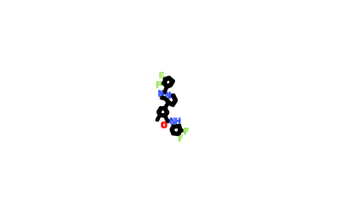 Cc1ccc(-c2cccn3c(-c4cccc(F)c4F)ncc23)cc1C(=O)Nc1ccc(F)c(F)c1